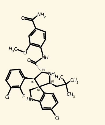 COc1cc(C(N)=O)ccc1NC(=O)[C@@H]1N[C@@H](CC(C)(C)C)[C@@]2(CNc3cc(Cl)ccc32)[C@H]1c1cccc(Cl)c1F